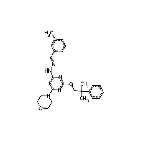 Cc1cccc(/C=N/Nc2cc(N3CCOCC3)nc(OCC(C)(C)c3ccccc3)n2)c1